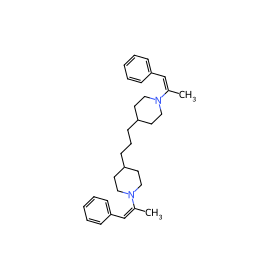 C/C(=C/c1ccccc1)N1CCC(CCCC2CCN(/C(C)=C\c3ccccc3)CC2)CC1